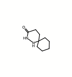 O=C1CCC2(CCCCC2)NN1